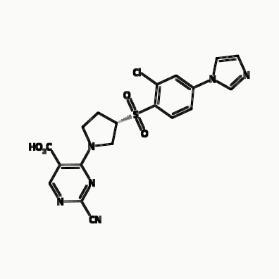 N#Cc1ncc(C(=O)O)c(N2CC[C@H](S(=O)(=O)c3ccc(-n4ccnc4)cc3Cl)C2)n1